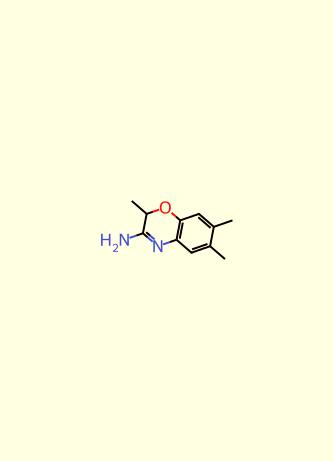 Cc1cc2c(cc1C)OC(C)C(N)=N2